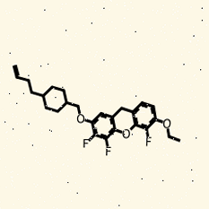 C=CCCC1CCC(COc2cc3c(c(F)c2F)Oc2c(ccc(OCC)c2F)C3)CC1